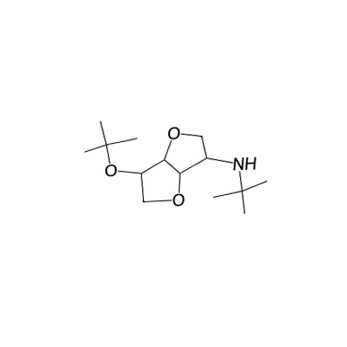 CC(C)(C)NC1COC2C(OC(C)(C)C)COC12